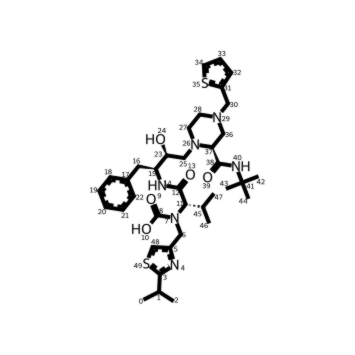 CC(C)c1nc(CN(C(=O)O)[C@H](C(=O)N[C@@H](Cc2ccccc2)[C@@H](O)CN2CCN(Cc3cccs3)C[C@H]2C(=O)NC(C)(C)C)C(C)C)cs1